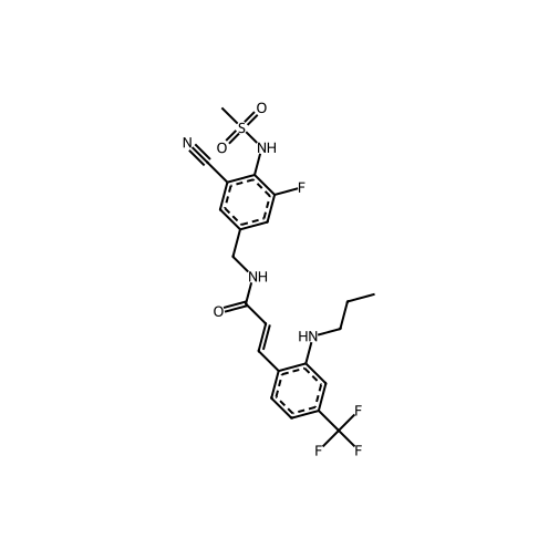 CCCNc1cc(C(F)(F)F)ccc1C=CC(=O)NCc1cc(F)c(NS(C)(=O)=O)c(C#N)c1